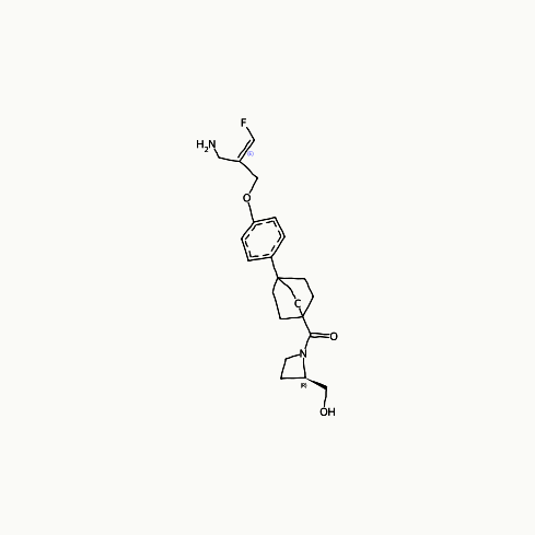 NC/C(=C\F)COc1ccc(C23CCC(C(=O)N4CC[C@@H]4CO)(CC2)CC3)cc1